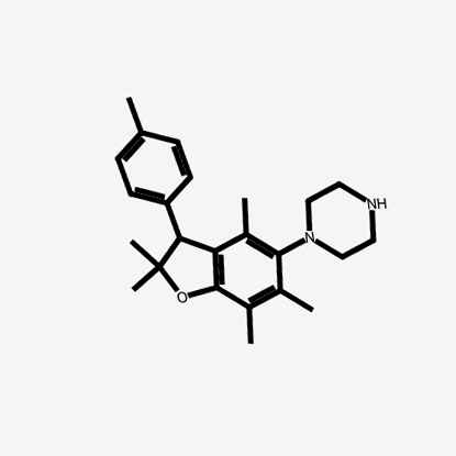 Cc1ccc(C2c3c(C)c(N4CCNCC4)c(C)c(C)c3OC2(C)C)cc1